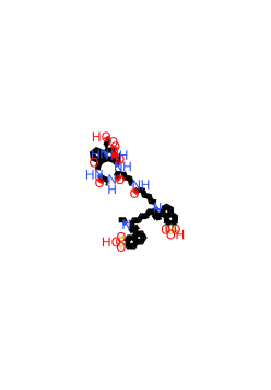 CC\N=C(/C=C/C=C/C=C1/N(CCCCCC(=O)NCCCC[C@@H]2NC(=O)[C@@H]3NC(=O)[C@H](CC(=O)O)NC3(c3ccccc3)CC(=O)CNC(=O)[C@H](C)NC2=O)c2ccc3ccc(S(=O)(=O)O)cc3c2C1(C)C)C(C)(C)c1cccc2ccc(S(=O)(=O)O)cc12